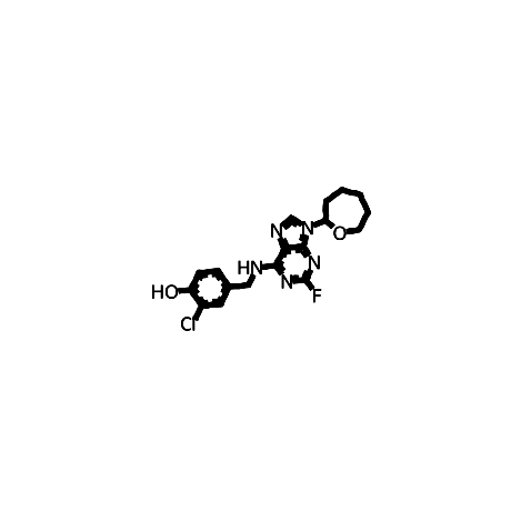 Oc1ccc(CNc2nc(F)nc3c2ncn3C2CCCCCO2)cc1Cl